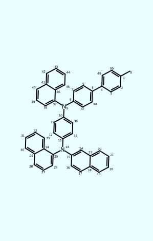 Cc1ccc(-c2ccc(N(c3ccc(N(c4ccc5ccccc5c4)c4cccc5ccccc45)cc3)c3cccc4ccccc34)cc2)cc1